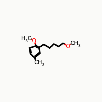 COCCCCCc1cc(C)ccc1OC